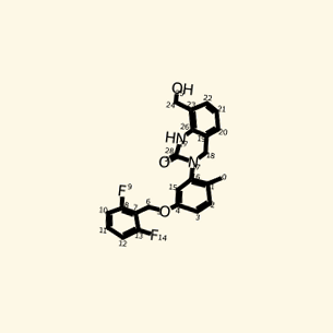 Cc1ccc(OCc2c(F)cccc2F)cc1N1Cc2cccc(CO)c2NC1=O